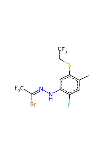 Cc1cc(F)c(N/N=C(\Br)C(F)(F)F)cc1SCC(F)(F)F